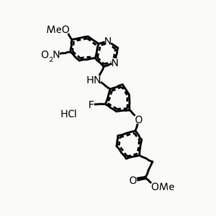 COC(=O)Cc1cccc(Oc2ccc(Nc3ncnc4cc(OC)c([N+](=O)[O-])cc34)c(F)c2)c1.Cl